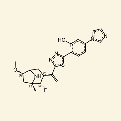 C=C(c1nnc(-c2ccc(-n3ccnc3)cc2O)s1)[C@@H]1CC2N[C@@](C)(C[C@H]2OC)[C@H]1F